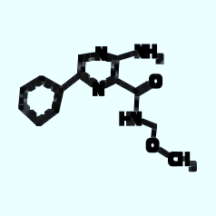 COCNC(=O)c1nc(-c2ccccc2)cnc1N